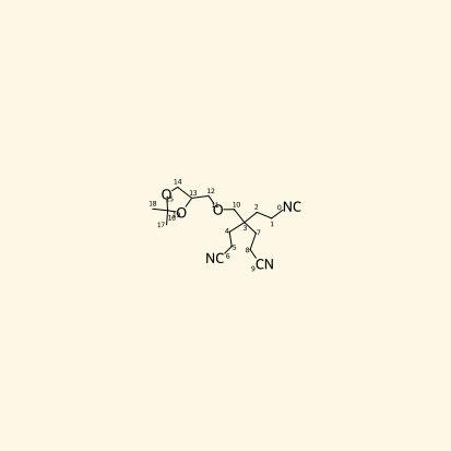 [C-]#[N+]CCC(CCC#N)(CCC#N)COCC1COC(C)(C)O1